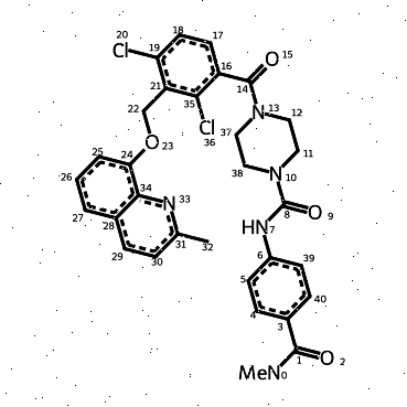 CNC(=O)c1ccc(NC(=O)N2CCN(C(=O)c3ccc(Cl)c(COc4cccc5ccc(C)nc45)c3Cl)CC2)cc1